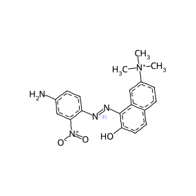 C[N+](C)(C)c1ccc2ccc(O)c(/N=N/c3ccc(N)cc3[N+](=O)[O-])c2c1